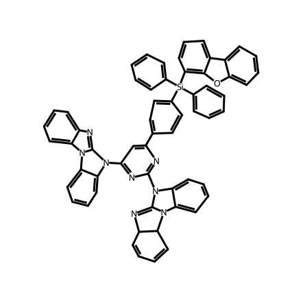 C1=CC2N=C3N(c4nc(-c5ccc([Si](c6ccccc6)(c6ccccc6)c6cccc7c6oc6ccccc67)cc5)cc(-n5c6ccccc6n6c7ccccc7nc56)n4)c4ccccc4N3C2C=C1